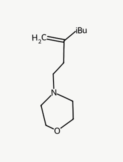 C=C(CCN1CCOCC1)C(C)CC